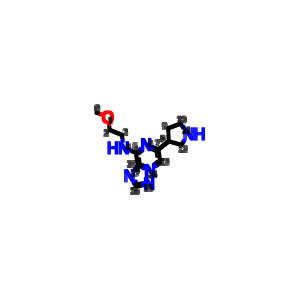 COCCNc1nc(C2CCNC2)cn2ncnc12